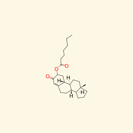 CCCCCCC(=O)OC1C[C@H]2C(=CC1=O)CC[C@@H]1[C@@H]2CC[C@]2(C)CCC[C@@H]12